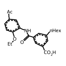 CCCCCCc1cc(C(=O)O)cc(C(=O)Nc2cc(C(C)=O)ccc2OCC)c1